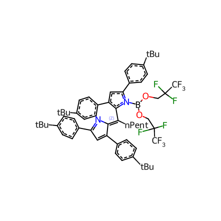 CCCCC/C(=C1/N=C(c2ccc(C(C)(C)C)cc2)C=C1c1ccc(C(C)(C)C)cc1)c1c(-c2ccc(C(C)(C)C)cc2)cc(-c2ccc(C(C)(C)C)cc2)n1B(OCC(F)(F)C(F)(F)F)OCC(F)(F)C(F)(F)F